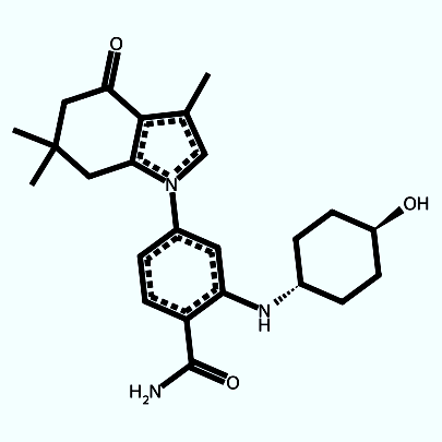 Cc1cn(-c2ccc(C(N)=O)c(N[C@H]3CC[C@H](O)CC3)c2)c2c1C(=O)CC(C)(C)C2